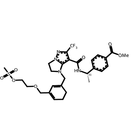 COC(=O)c1ccc([C@H](C)NC(=O)c2c(C(F)(F)F)nn3c2N(CC2=CC(COCCOS(C)(=O)=O)=CCC2)CC3)cc1